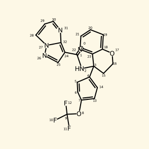 O=C(NC1(c2ccc(OC(F)(F)F)cc2)CCOc2cccnc21)c1cnn2cccnc12